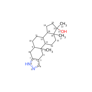 CC12Cc3cn[nH]c3CC1CCC1C2CCC2(C)C1CCC2(C)O